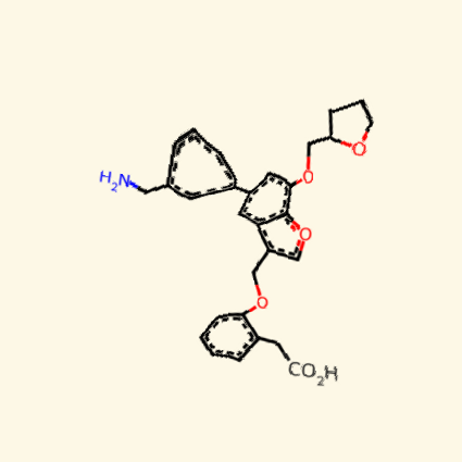 NCc1cccc(-c2cc(OCC3CCCO3)c3occ(COc4ccccc4CC(=O)O)c3c2)c1